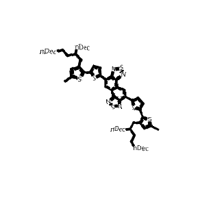 CCCCCCCCCCCCC(CCCCCCCCCC)Cc1cc(C)sc1-c1ccc(-c2cc3c(cc(-c4ccc(-c5sc(C)cc5CC(CCCCCCCCCC)CCCCCCCCCCCC)s4)c4nsnc43)c3nsnc23)s1